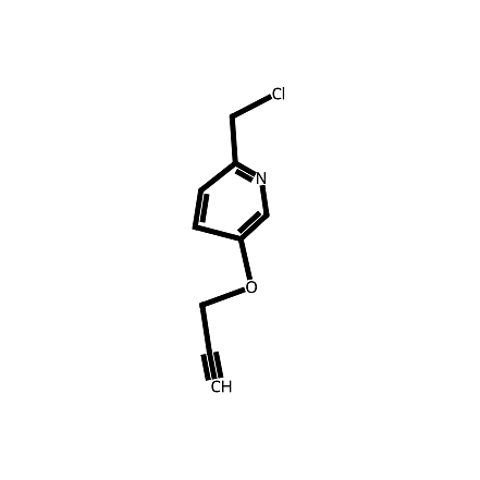 C#CCOc1ccc(CCl)nc1